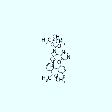 COC(C)c1ccccc1-c1cc(F)ccc1Oc1cncnc1C1N(C(=O)OC(C)(C)C)CC12CNC2